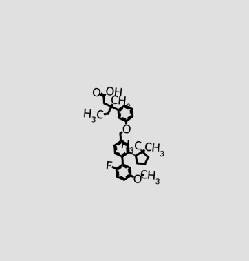 CCC(C)(CC(=O)O)c1cccc(OCc2ccc(-c3cc(OC)ccc3F)c([C@@H]3CCCC3(C)C)c2)c1